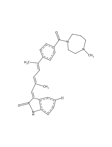 CC(=C\C=C(/C)c1ccc(C(=O)N2CCCN(C)CC2)cc1)/C=C1/C(=O)Nc2ccc(Cl)cc21